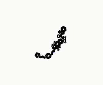 COc1cc(-c2csc3c(/C=C/CN4CCN(CCCN5CCCC5)CC4)cnc(N)c23)ccc1NC(=O)c1cc2ccccc2n1C